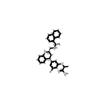 CC(Oc1cc(F)cc([C@@H]2C[C@H](CN[C@H](C)c3cccc4ccccc34)Oc3ccccc32)c1)C(=O)O